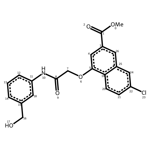 COC(=O)c1cc(OCC(=O)Nc2cccc(CO)c2)c2ccc(Cl)cc2c1